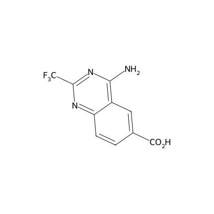 Nc1nc(C(F)(F)F)nc2ccc(C(=O)O)cc12